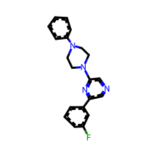 Fc1cccc(-c2cncc(N3CCN(c4ccccc4)CC3)n2)c1